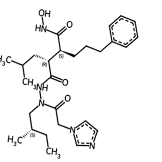 CC[C@H](C)CN(NC(=O)[C@H](CC(C)C)[C@H](CCCc1ccccc1)C(=O)NO)C(=O)Cn1ccnc1